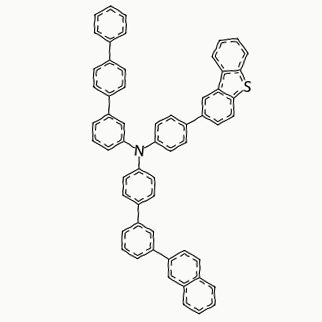 c1ccc(-c2ccc(-c3cccc(N(c4ccc(-c5cccc(-c6ccc7ccccc7c6)c5)cc4)c4ccc(-c5ccc6sc7ccccc7c6c5)cc4)c3)cc2)cc1